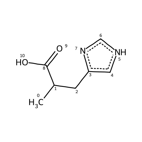 CC(Cc1c[nH]cn1)C(=O)O